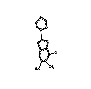 Cc1nc2cc(-c3ccccc3)nn2c(Cl)c1C